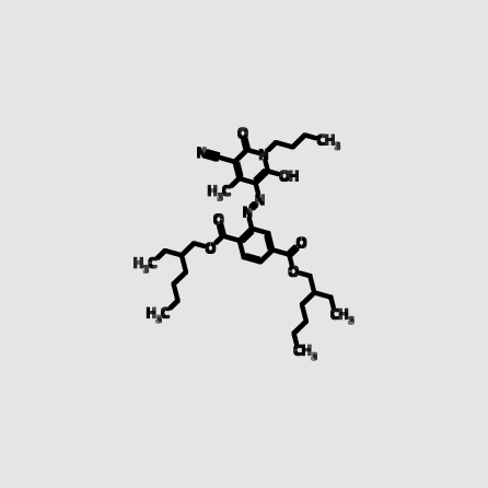 CCCCC(CC)COC(=O)c1ccc(C(=O)OCC(CC)CCCC)c(/N=N/c2c(C)c(C#N)c(=O)n(CCCC)c2O)c1